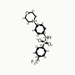 O=S(=O)(Nc1ccc(N2CCOCC2)cc1)c1[c]cc(C(F)(F)F)cc1